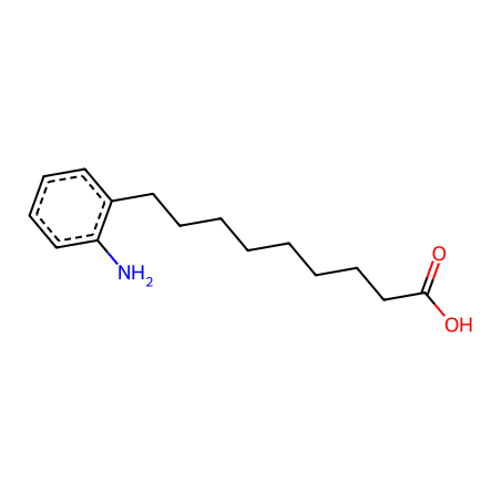 Nc1ccccc1CCCCCCCCC(=O)O